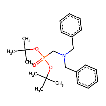 CC(C)(C)OP(=O)(CN(Cc1ccccc1)Cc1ccccc1)OC(C)(C)C